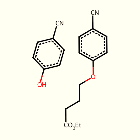 CCOC(=O)CCCOc1ccc(C#N)cc1.N#Cc1ccc(O)cc1